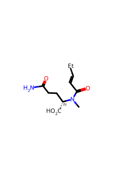 CCC=CC(=O)N(C)[C@@H](CCC(N)=O)C(=O)O